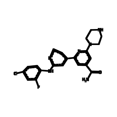 NC(=O)c1cc(-c2ccnc(Nc3ccc(Cl)cc3F)c2)nc(N2CCNCC2)c1